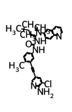 Cc1ccc(NC(=O)N/C(=C/CC(C)(C)C)N(C)c2ccc3ncccc3c2)cc1C#Cc1cnc(N)c(Cl)c1